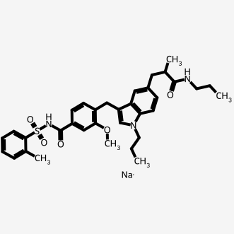 CCCNC(=O)C(C)Cc1ccc2c(c1)c(Cc1ccc(C(=O)NS(=O)(=O)c3ccccc3C)cc1OC)cn2CCC.[Na]